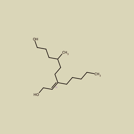 CCCCC/C(=C/CO)CCC(C)CCCO